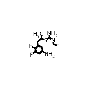 C[C@H](Cc1cc(N)cc(F)c1F)S/C(N)=N\CF